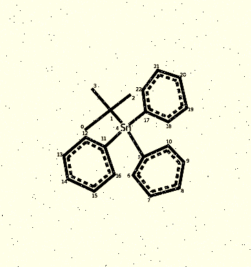 C[C](C)(C)[Sn]([c]1ccccc1)([c]1ccccc1)[c]1ccccc1